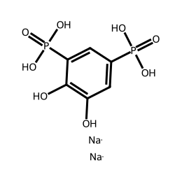 O=P(O)(O)c1cc(O)c(O)c(P(=O)(O)O)c1.[Na].[Na]